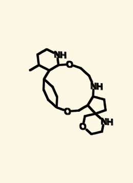 CC1CCNC2OCCNC3CCC4(COCCN4)C3COC3CCC(CC3)C12